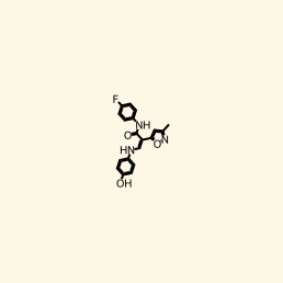 Cc1cc(C(=CNc2ccc(O)cc2)C(=O)Nc2ccc(F)cc2)on1